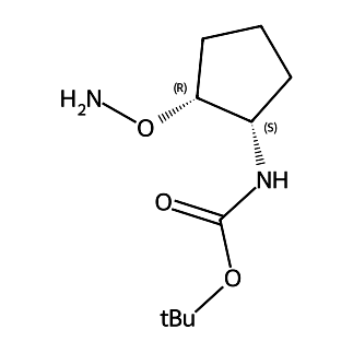 CC(C)(C)OC(=O)N[C@H]1CCC[C@H]1ON